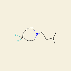 CC(C)CCN1CCCC(F)(F)CC1